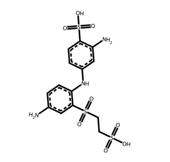 Nc1ccc(Nc2ccc(S(=O)(=O)O)c(N)c2)c(S(=O)(=O)CCS(=O)(=O)O)c1